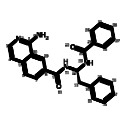 Nc1nccc2ccc(C(=O)N[C@H](Cc3ccccc3)NC(=O)c3ccccc3)cc12